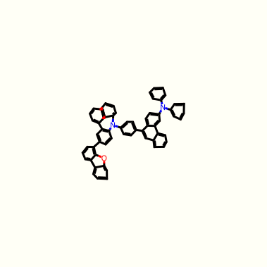 c1ccc(-c2cc(-c3cccc4c3oc3ccccc34)ccc2N(c2ccccc2)c2ccc(-c3cc4ccccc4c4cc(N(c5ccccc5)c5ccccc5)ccc34)cc2)cc1